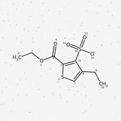 CCOC(=O)c1scc(CC)c1S(=O)(=O)Cl